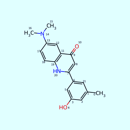 Cc1cc(O)cc(-c2cc(=O)c3cc(N(C)C)ccc3[nH]2)c1